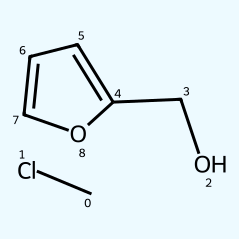 CCl.OCc1ccco1